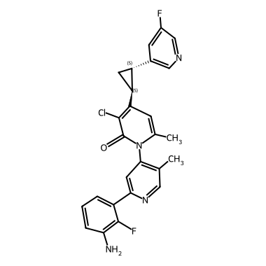 Cc1cnc(-c2cccc(N)c2F)cc1-n1c(C)cc([C@H]2C[C@@H]2c2cncc(F)c2)c(Cl)c1=O